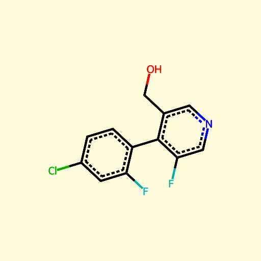 OCc1cncc(F)c1-c1ccc(Cl)cc1F